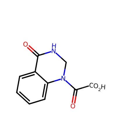 O=C(O)C(=O)N1CNC(=O)c2ccccc21